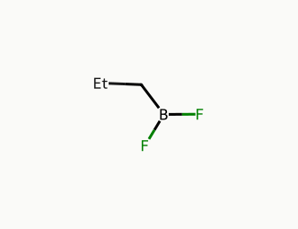 CCCB(F)F